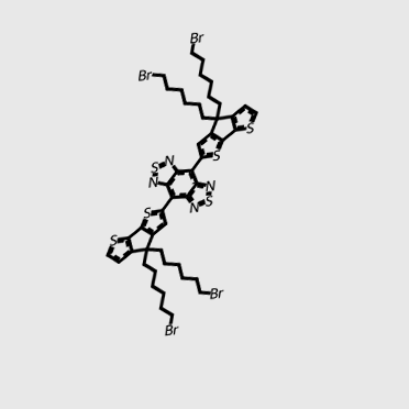 BrCCCCCCC1(CCCCCCBr)c2ccsc2-c2sc(-c3c4c(c(-c5cc6c(s5)-c5sccc5C6(CCCCCCBr)CCCCCCBr)c5nsnc35)N=S=N4)cc21